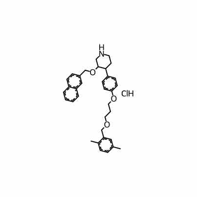 Cc1ccc(C)c(COCCCOc2ccc(C3CCNCC3OCc3ccc4ccccc4c3)cc2)c1.Cl